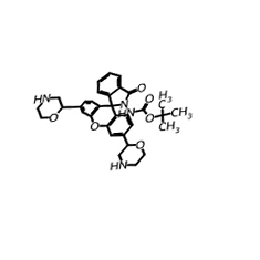 CC(C)(C)OC(=O)NN1C(=O)c2ccccc2C12c1ccc(C3CNCCO3)cc1Oc1cc(C3CNCCO3)ccc12